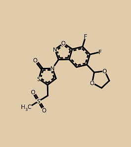 CS(=O)(=O)Cc1cn(-c2noc3c(F)c(F)c(C4OCCO4)cc23)c(=O)s1